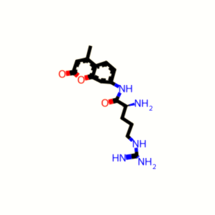 Cc1cc(=O)oc2cc(NC(=O)[C@@H](N)CCCNC(=N)N)ccc12